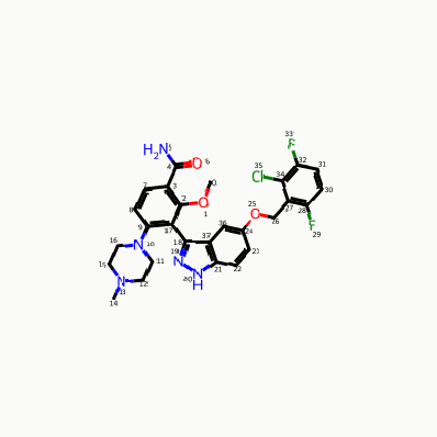 COc1c(C(N)=O)ccc(N2CCN(C)CC2)c1-c1n[nH]c2ccc(OCc3c(F)ccc(F)c3Cl)cc12